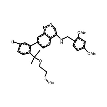 COc1ccc(CNc2cnnc3cc(-c4cc(Cl)ccc4C(C)(C)OCCOC(C)(C)C)ccc23)c(OC)c1